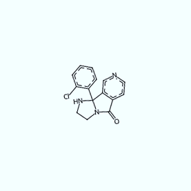 O=C1c2ccncc2C2(c3ccccc3Cl)NCCN12